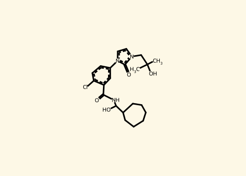 CC(C)(O)Cn1ccn(-c2ccc(Cl)c(C(=O)NC(O)C3CCCCCC3)c2)c1=O